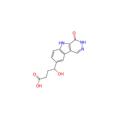 O=C(O)CCC(O)c1ccc2[nH]c3c(=O)[nH]ncc3c2c1